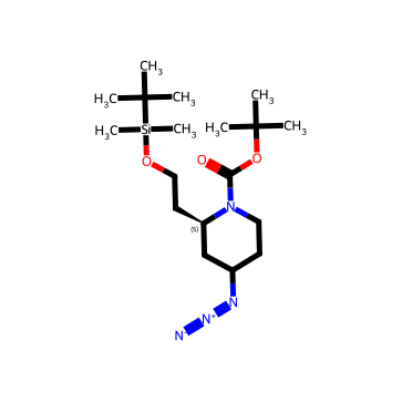 CC(C)(C)OC(=O)N1CCC(N=[N+]=[N-])C[C@H]1CCO[Si](C)(C)C(C)(C)C